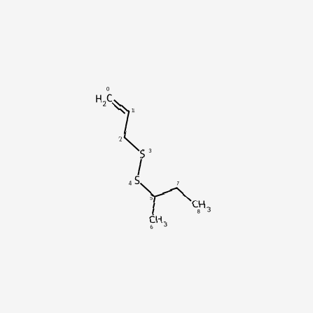 C=CCSSC(C)CC